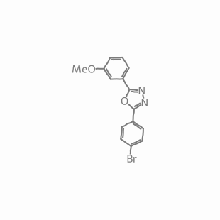 COc1cccc(-c2nnc(-c3ccc(Br)cc3)o2)c1